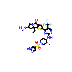 CCC12CC(N)CN1C(=O)c1cc(-c3nc(N[C@H]4CCN(S(=O)(=O)c5cnn(C)c5)C[C@H]4C)ncc3C(F)(F)F)sc12